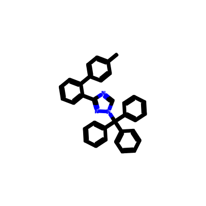 Cc1ccc(-c2ccccc2-c2ncn(C(c3ccccc3)(c3ccccc3)c3ccccc3)n2)cc1